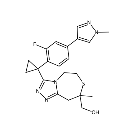 Cn1cc(-c2ccc(C3(c4nnc5n4CCSC(C)(CO)C5)CC3)c(F)c2)cn1